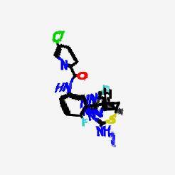 NC1=N[C@](CF)(c2cc(NC(=O)c3ccc(Cl)cn3)ccc2F)[C@@H]2C[C@]2(c2c[nH]nn2)S1